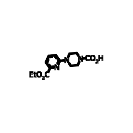 CCOC(=O)c1cccc(N2CCN(C(=O)O)CC2)n1